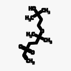 C=CS(=O)(=O)CCC(C)(C)OCCC(C)(C)O